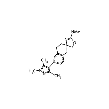 CNC1=NC2(CCc3cc(-c4c(C)nn(C)c4C)ccc3C2)CO1